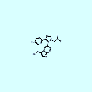 OCc1cnc2ccc(-c3c(-c4ccc(F)cc4)ncn3CC(F)F)cn12